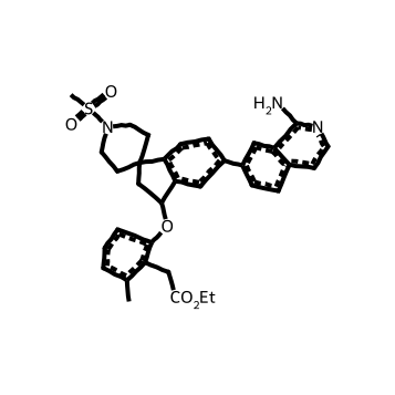 CCOC(=O)Cc1c(C)cccc1OC1CC2(CCN(S(C)(=O)=O)CC2)c2ccc(-c3ccc4ccnc(N)c4c3)cc21